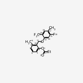 CCC(=O)Oc1cccc(C)c1COc1cc(F)c(C)cc1C(F)(F)F